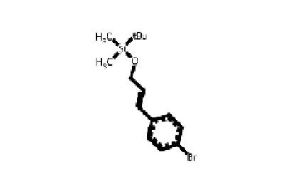 CC(C)(C)[Si](C)(C)OCC=Cc1ccc(Br)cc1